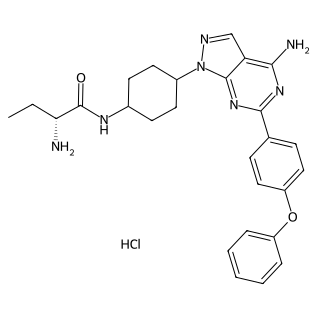 CC[C@@H](N)C(=O)NC1CCC(n2ncc3c(N)nc(-c4ccc(Oc5ccccc5)cc4)nc32)CC1.Cl